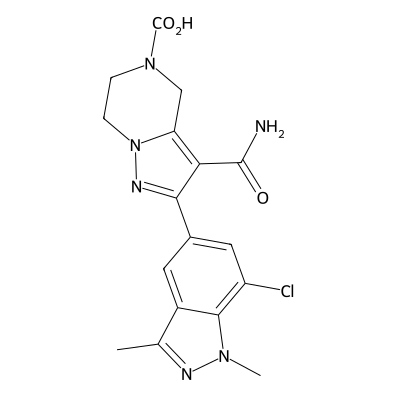 Cc1nn(C)c2c(Cl)cc(-c3nn4c(c3C(N)=O)CN(C(=O)O)CC4)cc12